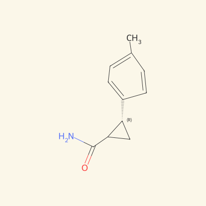 Cc1ccc([C@@H]2CC2C(N)=O)cc1